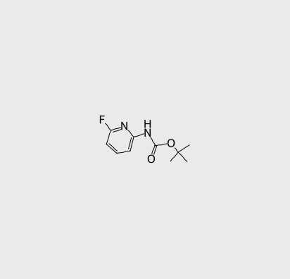 CC(C)(C)OC(=O)Nc1cccc(F)n1